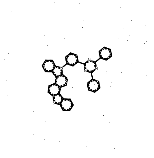 c1ccc(-c2nc(-c3ccccc3)nc(-c3cccc(-n4c5ccccc5c5c6ccc7sc8ccccc8c7c6ccc54)c3)n2)cc1